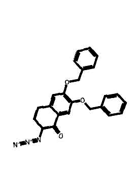 [N-]=[N+]=NC1CCc2cc(OCc3ccccc3)c(OCc3ccccc3)cc2C1=O